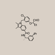 CC[C@H](C=O)Oc1ccc(Cl)c(Cn2c(C)c(C)c3cc(C(=O)N[C@@H](C)c4cccc(C(C)C)c4)ccc32)c1